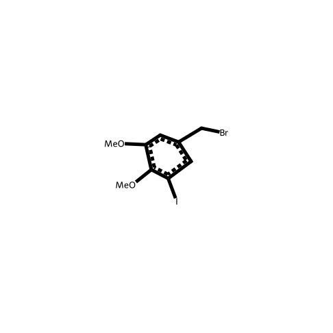 COc1cc(CBr)cc(I)c1OC